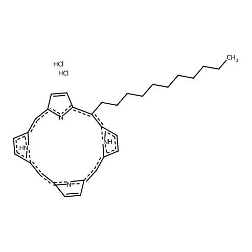 CCCCCCCCCCCc1c2nc(cc3ccc(cc4nc(cc5ccc1[nH]5)C=C4)[nH]3)C=C2.Cl.Cl